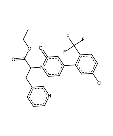 CCOC(=O)C(Cc1cccnc1)n1ccc(-c2cc(Cl)ccc2C(F)(F)F)cc1=O